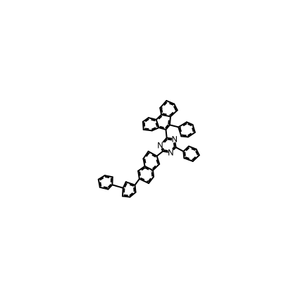 c1ccc(-c2cccc(-c3ccc4cc(-c5nc(-c6ccccc6)nc(-c6c(-c7ccccc7)c7ccccc7c7ccccc67)n5)ccc4c3)c2)cc1